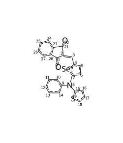 O=C1C(=Cc2ccc(N(c3ccccc3)c3cccs3)[se]2)C(=O)c2ccccc21